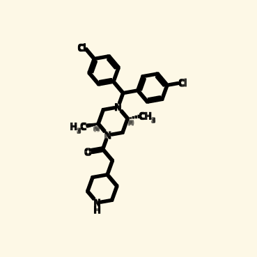 C[C@@H]1CN(C(=O)CC2CCNCC2)[C@@H](C)CN1C(c1ccc(Cl)cc1)c1ccc(Cl)cc1